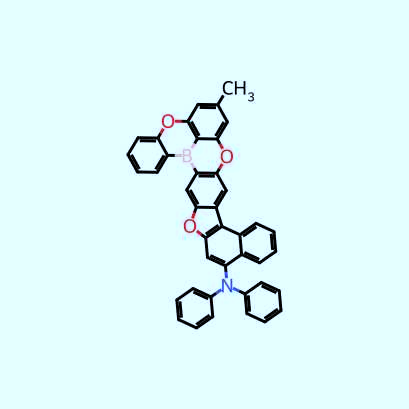 Cc1cc2c3c(c1)Oc1cc4c(cc1B3c1ccccc1O2)oc1cc(N(c2ccccc2)c2ccccc2)c2ccccc2c14